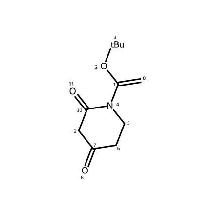 C=C(OC(C)(C)C)N1CCC(=O)CC1=O